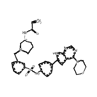 C=CC(=O)N[C@@H]1CCCN(Cc2cccc(S(=O)(=O)Nc3ccc(-c4cc5c(N6CCOCC6)ncnc5[nH]4)cc3)c2)C1